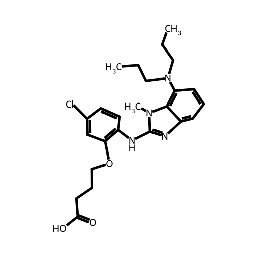 CCCN(CCC)c1cccc2nc(Nc3ccc(Cl)cc3OCCCC(=O)O)n(C)c12